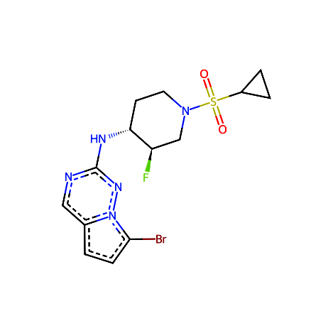 O=S(=O)(C1CC1)N1CC[C@@H](Nc2ncc3ccc(Br)n3n2)[C@H](F)C1